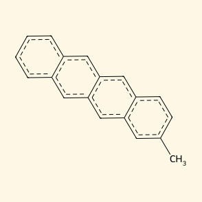 Cc1ccc2cc3cc4ccccc4cc3cc2c1